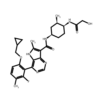 Cc1ccc(OCC2CC2)c(-c2ncnc3c(C(=O)N[C@@H]4CC[C@H](NC(=O)CO)[C@H](C)C4)c(C)[nH]c23)c1F